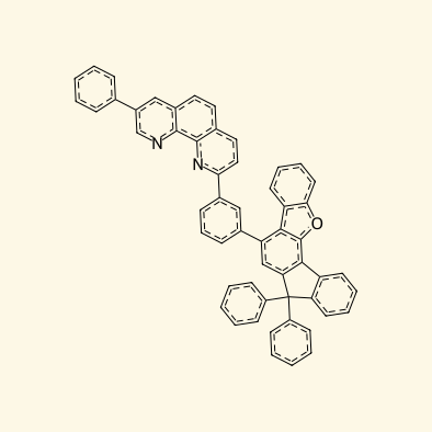 c1ccc(-c2cnc3c(ccc4ccc(-c5cccc(-c6cc7c(c8oc9ccccc9c68)-c6ccccc6C7(c6ccccc6)c6ccccc6)c5)nc43)c2)cc1